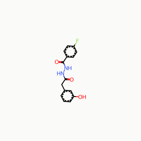 O=C(Cc1cccc(O)c1)NNC(=O)c1ccc(F)cc1